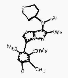 CCCN(c1c(OC)nn2c(-c3c(OC)cc(Cl)c(C)c3OC)csc12)C1CCOCC1